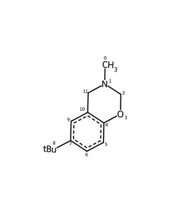 CN1COc2ccc(C(C)(C)C)cc2C1